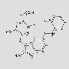 CC(=O)O.Cc1ccc(O)c(Cn2c(N)nc3ccc(CNc4ccccc4C)cc32)n1